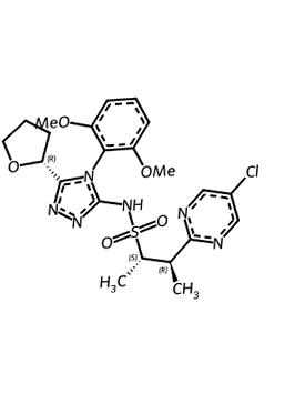 COc1cccc(OC)c1-n1c(NS(=O)(=O)[C@@H](C)[C@H](C)c2ncc(Cl)cn2)nnc1[C@H]1CCCO1